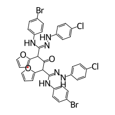 O=C(C(C(=NNc1ccc(Cl)cc1)Nc1ccc(Br)cc1)c1ccco1)C(C(=NNc1ccc(Cl)cc1)Nc1ccc(Br)cc1)c1ccco1